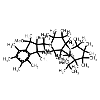 COC(C)(C)C1(C)C(C)(C)N(C2(C)C(C)(C)C(C)(C)N(C(C)(C)C3(C(C)(C)C)C(C)(C)c4c(C)c(C)c(C)c(C)c4C3(C)OC)C(C)(C)C2(C)C)C(C)(C)C(C)(C)C1(C)C